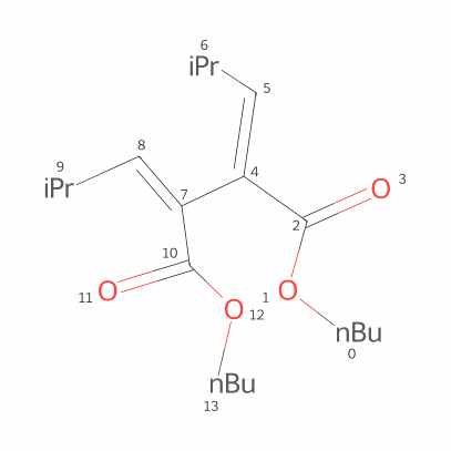 CCCCOC(=O)C(=CC(C)C)C(=CC(C)C)C(=O)OCCCC